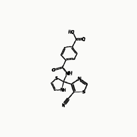 N#Cc1scnc1C1(NC(=O)c2ccc(C(=O)O)cc2)NC=CS1